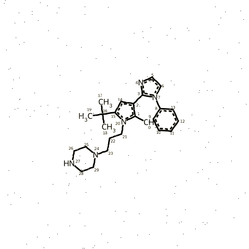 Cc1c(-c2nccn2-c2ccccc2)cc(C(C)(C)C)n1CCCN1CCNCC1